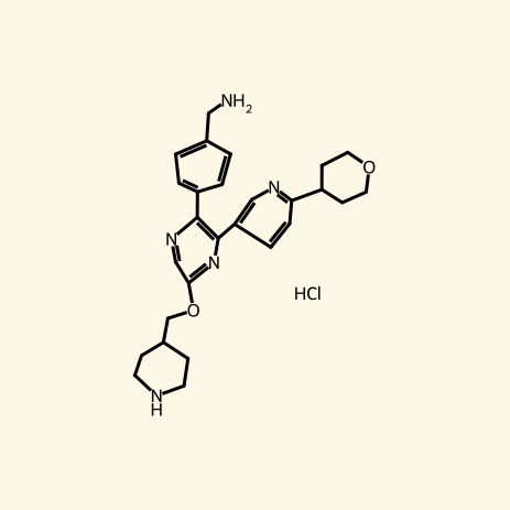 Cl.NCc1ccc(-c2ncc(OCC3CCNCC3)nc2-c2ccc(C3CCOCC3)nc2)cc1